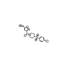 CC(C)(C)c1cc(C(=O)N2CCC(S(=O)(=O)c3ccc(Cl)cc3)CC2)no1